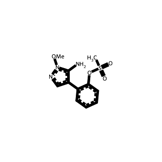 COn1ncc(-c2ccccc2OS(C)(=O)=O)c1N